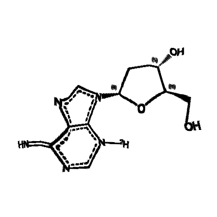 [2H]n1cnc(=N)c2ncn([C@H]3C[C@H](O)[C@@H](CO)O3)c21